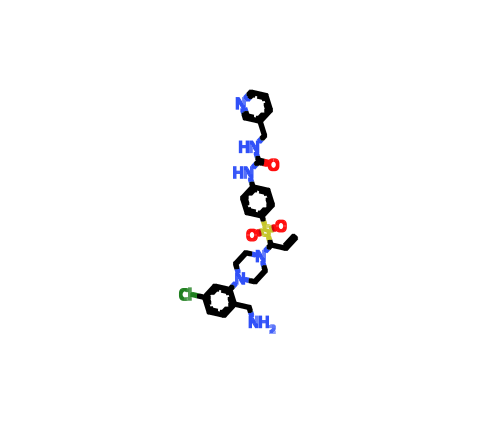 C=CC(N1CCN(c2cc(Cl)ccc2CN)CC1)S(=O)(=O)c1ccc(NC(=O)NCc2cccnc2)cc1